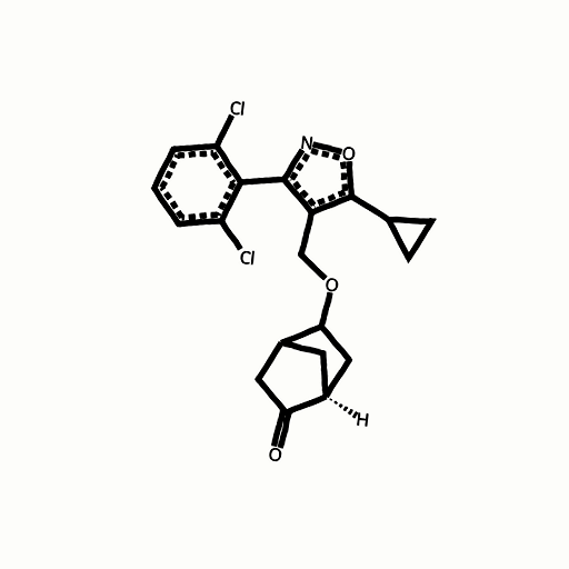 O=C1CC2C[C@H]1CC2OCc1c(-c2c(Cl)cccc2Cl)noc1C1CC1